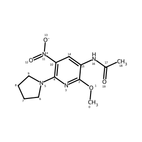 COc1nc(N2CCCC2)c([N+](=O)[O-])cc1NC(C)=O